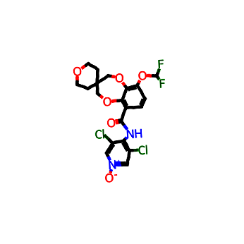 O=C(Nc1c(Cl)c[n+]([O-])cc1Cl)c1ccc(OC(F)F)c2c1OCC1(CCOCC1)CO2